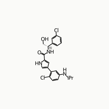 CC(C)Nc1ccc(Cl)c(-c2c[nH]c(C(=O)N[C@H](CO)c3cccc(Cl)c3)c2)c1